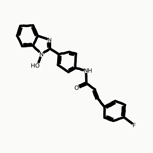 O=C(C=Cc1ccc(F)cc1)Nc1ccc(-c2nc3ccccc3n2O)cc1